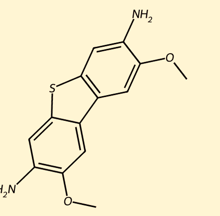 COc1cc2c(cc1N)sc1cc(N)c(OC)cc12